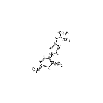 C[C@@H](Cc1cn(-c2ccc([N+](=O)[O-])cc2[N+](=O)[O-])cn1)C(=O)O